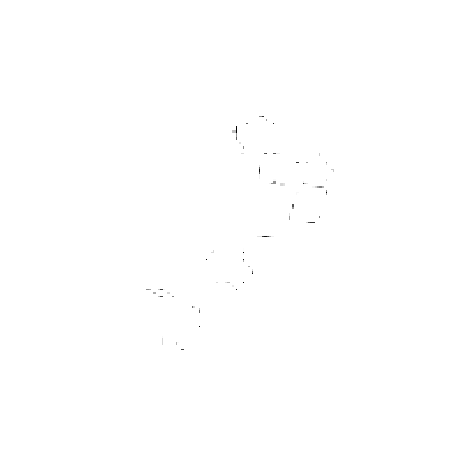 CC#C[C@@H](CC(=O)O)c1ccc(OCc2ccc3scc(-c4ccncc4OC)c3c2)cc1